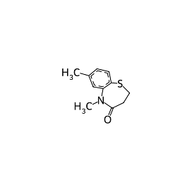 Cc1ccc2c(c1)N(C)C(=O)CCS2